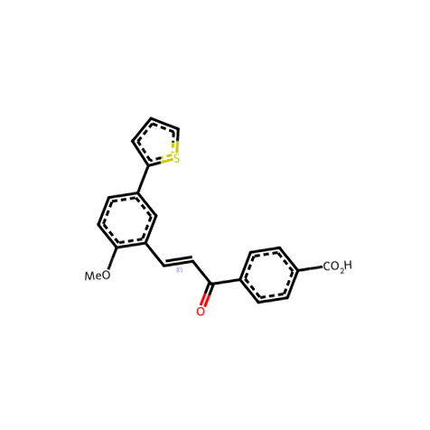 COc1ccc(-c2cccs2)cc1/C=C/C(=O)c1ccc(C(=O)O)cc1